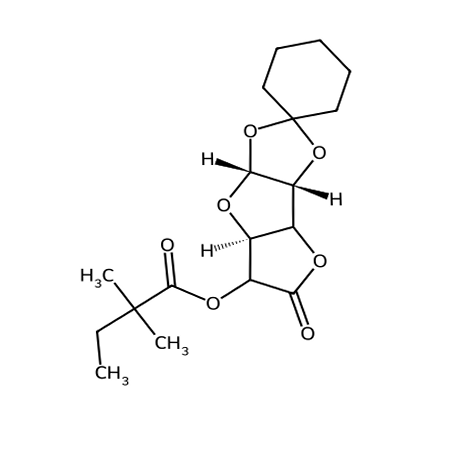 CCC(C)(C)C(=O)OC1C(=O)OC2[C@@H]1O[C@@H]1OC3(CCCCC3)O[C@H]21